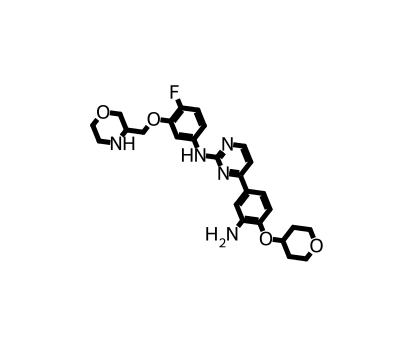 Nc1cc(-c2ccnc(Nc3ccc(F)c(OCC4COCCN4)c3)n2)ccc1OC1CCOCC1